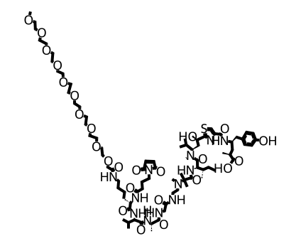 CC[C@H](C)[C@H](NC(=O)C(C)(C)N(C)CCNC(=O)CNC(=O)[C@H](C)NC(=O)[C@@H](NC(=O)[C@H](CCCCNC(=O)COCCOCCOCCOCCOCCOCCOCCOCCOCCOC)NC(=O)CCCN1C(=O)C=CC1=O)C(C)C)C(=O)N(C)[C@H](C[C@@H](O)c1nc(C(=O)N[C@@H](Cc2ccc(O)cc2)C[C@H](C)C(=O)O)cs1)C(C)C